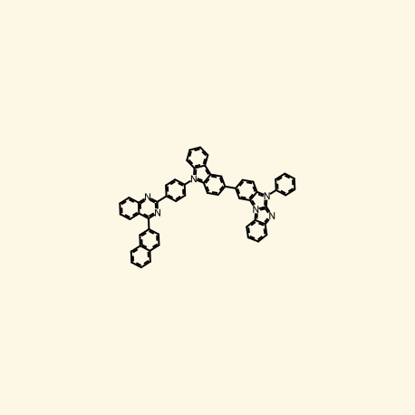 c1ccc(-n2c3ccc(-c4ccc5c(c4)c4ccccc4n5-c4ccc(-c5nc(-c6ccc7ccccc7c6)c6ccccc6n5)cc4)cc3n3c4ccccc4nc23)cc1